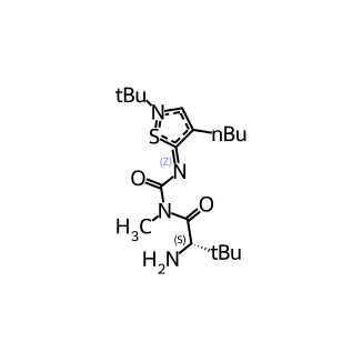 CCCCc1cn(C(C)(C)C)s/c1=N\C(=O)N(C)C(=O)[C@@H](N)C(C)(C)C